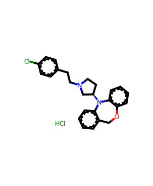 Cl.Clc1ccc(CCN2CC[C@@H](N3c4ccccc4COc4ccccc43)C2)cc1